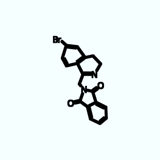 O=C1c2ccccc2C(=O)N1CC1=NCCc2cc(Br)ccc21